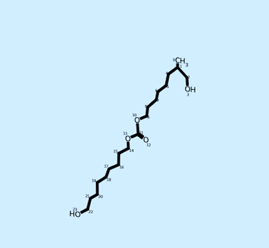 CC(CO)CCCCCCOC(=O)OCCCCCCCCCO